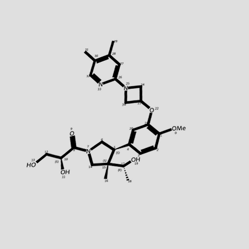 COc1ccc([C@@H]2CN(C(=O)[C@@H](O)CO)C[C@@]2(C)[C@@H](C)O)cc1OC1CN(c2cc(C)c(C)cn2)C1